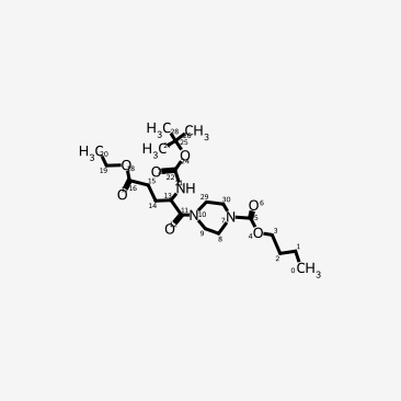 CCCCOC(=O)N1CCN(C(=O)C(CCC(=O)OCC)NC(=O)OC(C)(C)C)CC1